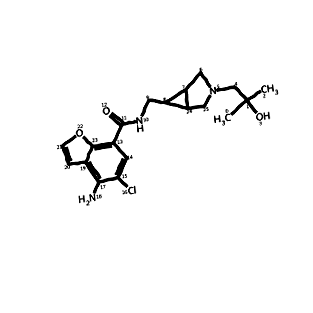 CC(C)(O)CN1CC2C(CNC(=O)c3cc(Cl)c(N)c4ccoc34)C2C1